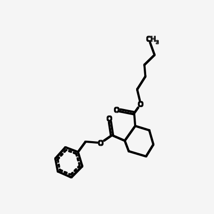 CCCCCOC(=O)C1CCCCC1C(=O)OCc1ccccc1